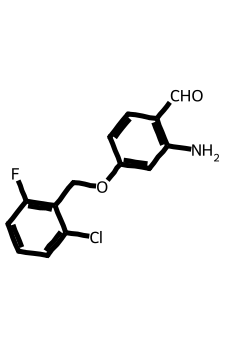 Nc1cc(OCc2c(F)cccc2Cl)ccc1C=O